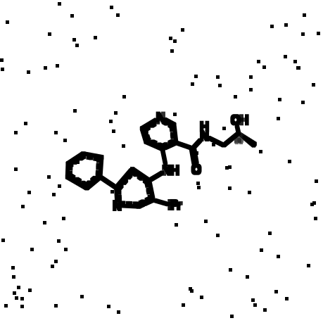 CC(C)c1cnc(-c2ccccc2)cc1Nc1ccncc1C(=O)NC[C@H](C)O